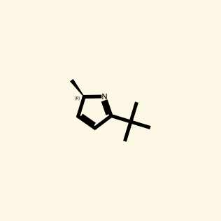 C[C@@H]1C=CC(C(C)(C)C)=N1